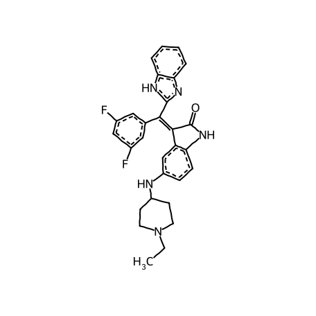 CCN1CCC(Nc2ccc3c(c2)/C(=C(\c2cc(F)cc(F)c2)c2nc4ccccc4[nH]2)C(=O)N3)CC1